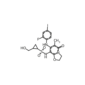 Cc1c(Nc2ccc(I)cc2F)c(NS(=O)(=O)C2CC2CO)c2n(c1=O)CCO2